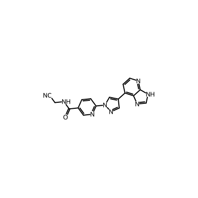 N#CCNC(=O)c1ccc(-n2cc(-c3ccnc4[nH]cnc34)cn2)nc1